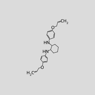 C=CCOc1ccc(NC2CCCCC2Nc2ccc(OCC=C)cc2)cc1